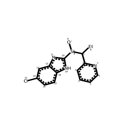 CCC(c1ccccn1)[S+]([O-])c1nc2cc(Cl)ccc2[nH]1